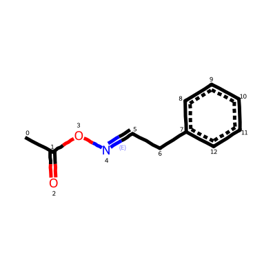 CC(=O)O/N=C/Cc1ccccc1